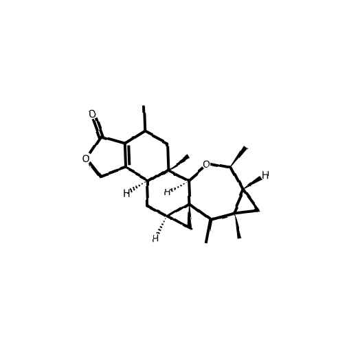 CC1C[C@]2(C)[C@H]3O[C@@H](C)[C@@H]4C[C@]4(C)C(C)[C@@]34C[C@H]4C[C@H]2C2=C1C(=O)OC2